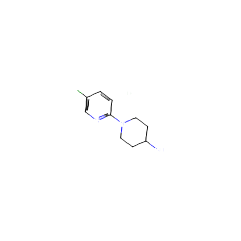 Cl.Cl.NC1CCN(c2ccc(F)cn2)CC1